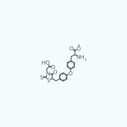 COC(=O)C(N)Cc1ccc(Oc2ccc(CC3SC(=S)N(CC(=O)O)C3=O)cc2)cc1